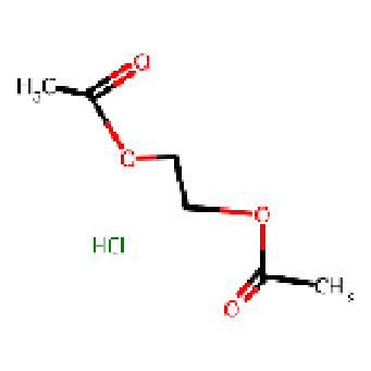 CC(=O)OCCOC(C)=O.Cl